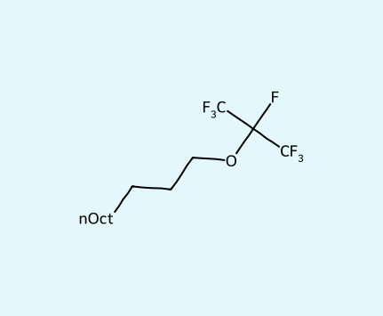 [CH2]CCCCCCCCCCOC(F)(C(F)(F)F)C(F)(F)F